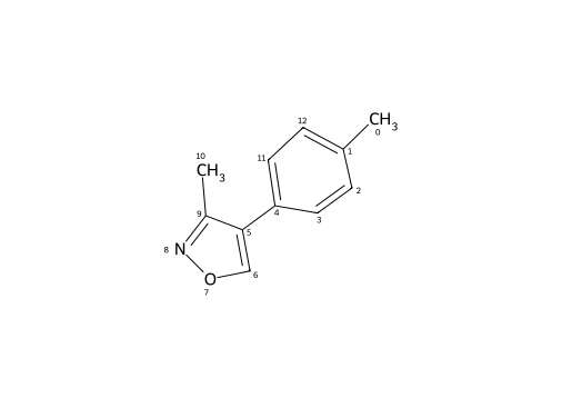 Cc1ccc(-c2conc2C)cc1